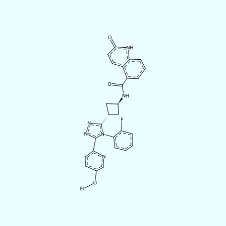 CCOc1ccc(-c2nnc([C@H]3C[C@H](NC(=O)c4cccc5[nH]c(=O)ccc45)C3)n2-c2ccccc2F)nc1